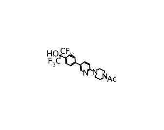 CC(=O)N1CCN(c2ccc(-c3ccc(C(O)(C(F)(F)F)C(F)(F)F)cc3)cn2)CC1